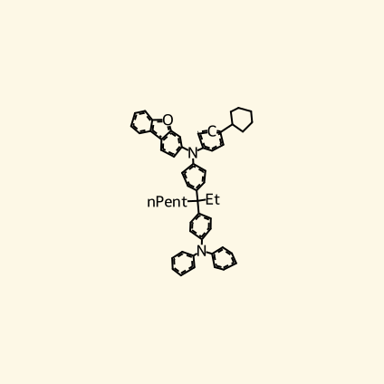 CCCCCC(CC)(c1ccc(N(c2ccccc2)c2ccccc2)cc1)c1ccc(N(c2ccc(C3CCCCC3)cc2)c2ccc3c(c2)oc2ccccc23)cc1